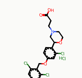 Cl.O=C(O)CCN1CCOC(c2ccc(OCc3c(Cl)cccc3Cl)cc2Cl)C1